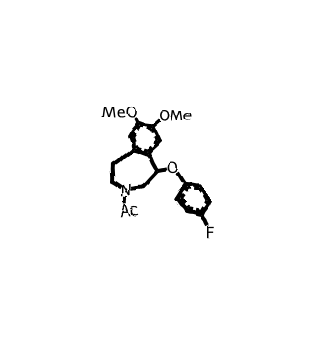 COc1cc2c(cc1OC)C(Oc1ccc(F)cc1)CN(C(C)=O)CC2